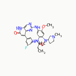 C=CC(=O)Nc1cc(Nc2ncc3[nH]c(=O)cc(-c4cccc(F)c4)c3n2)c(OC)cc1N(C)C1CCN(C)C1